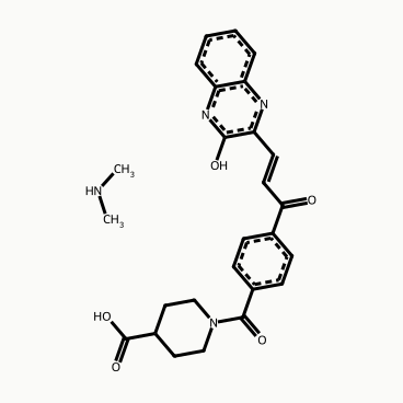 CNC.O=C(/C=C/c1nc2ccccc2nc1O)c1ccc(C(=O)N2CCC(C(=O)O)CC2)cc1